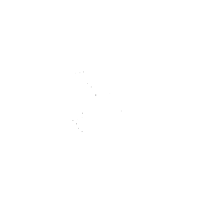 C=C(C)C(=O)Nc1ccc(O)c(-c2c(Cl)ccc3[nH]nnc23)c1